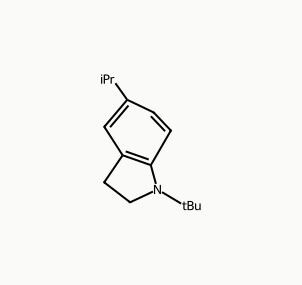 CC(C)c1ccc2c(c1)CCN2C(C)(C)C